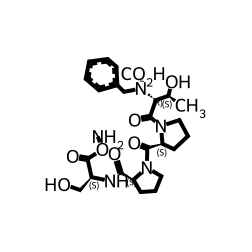 C[C@H](O)[C@H](C(=O)N1CCC[C@H]1C(=O)N1CCC[C@H]1C(=O)N[C@@H](CO)C(=O)ON)N(Cc1ccccc1)C(=O)O